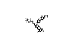 Cc1cc(=O)oc2ccc(OC(CCCCN(O)C=O)COc3ccc(-c4ccc(C#N)cc4)cc3)cc12